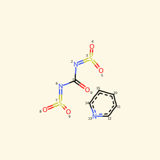 O=C(N=S(=O)=O)N=S(=O)=O.c1ccncc1